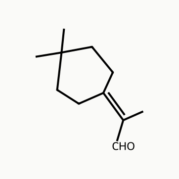 CC(C=O)=C1CCC(C)(C)CC1